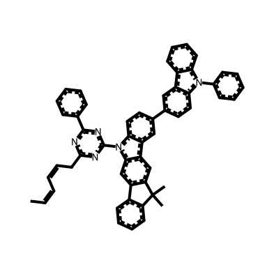 C/C=C\C=C/Cc1nc(-c2ccccc2)nc(-n2c3ccc(-c4ccc5c(c4)c4ccccc4n5-c4ccccc4)cc3c3cc4c(cc32)-c2ccccc2C4(C)C)n1